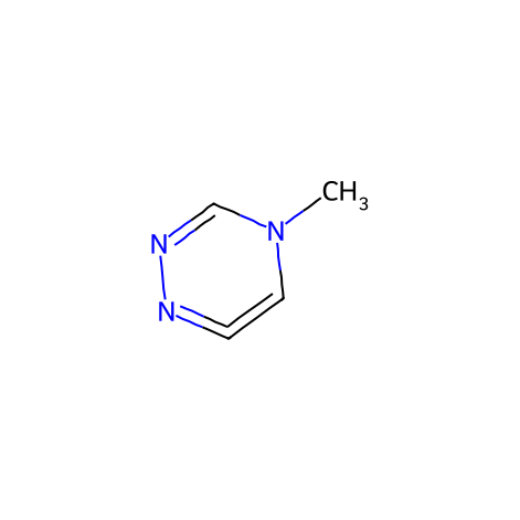 CN1C=C=NN=C1